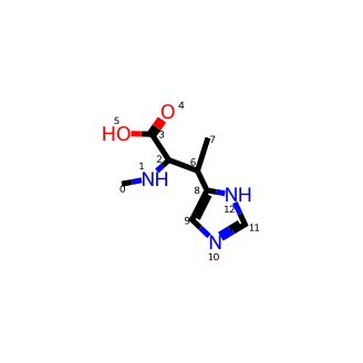 CNC(C(=O)O)C(C)c1cnc[nH]1